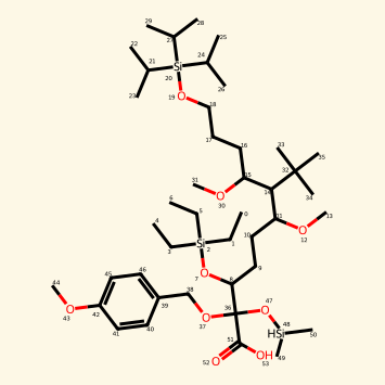 CC[Si](CC)(CC)OC(CCC(OC)C(C(CCCO[Si](C(C)C)(C(C)C)C(C)C)OC)C(C)(C)C)C(OCc1ccc(OC)cc1)(O[SiH](C)C)C(=O)O